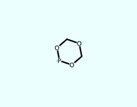 C1OCO[P]O1